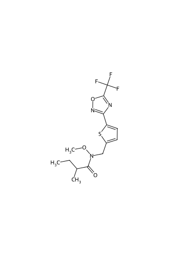 CCC(C)C(=O)N(Cc1ccc(-c2noc(C(F)(F)F)n2)s1)OC